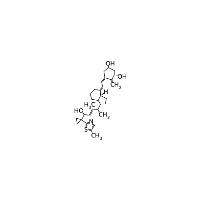 C=C1/C(=C\C=C2/CCC[C@]3(C)[C@@H]([C@@H](C)/C=C/[C@H](O)C4(c5ncc(C)s5)CC4)CC[C@@H]23)C[C@@H](O)C[C@@H]1O